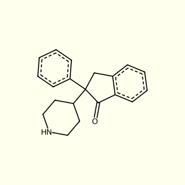 O=C1c2ccccc2CC1(c1ccccc1)C1CCNCC1